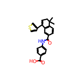 CC1(C)CC=C(c2ccsc2)c2cc(C(=O)Nc3ccc(C(=O)O)cc3)ccc21